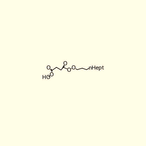 CCCCCCCCCCOOC(=O)CCC(=O)OO